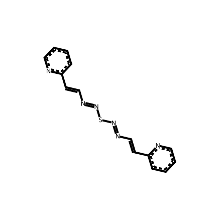 C(=Cc1ccccn1)N=NSN=NC=Cc1ccccn1